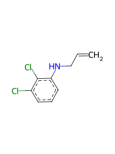 C=CCNc1cccc(Cl)c1Cl